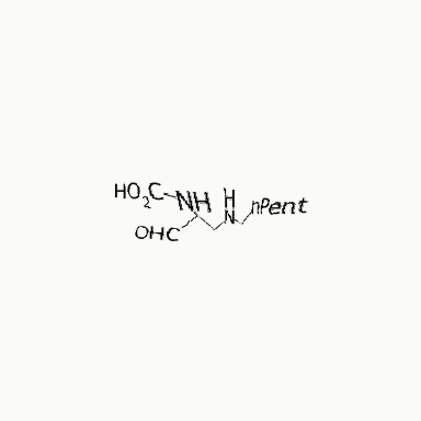 CCCCCCNCC(C=O)NC(=O)O